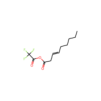 CCCCCC=CCC(=O)OC(=O)C(F)(F)F